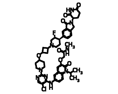 CNC(=O)COc1cc2cc(Nc3nc(N4CCC(OC5CC(N6CC[C@H](c7ccc8c(c7)C(=O)N([C@@H]7CCC(=O)NC7=O)C8)[C@H](F)C6)C5)CC4)ncc3Cl)ccc2n(C(C)C)c1=O